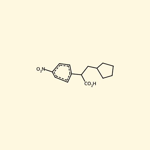 O=C(O)C(CC1CCCC1)c1ccc([N+](=O)[O-])cc1